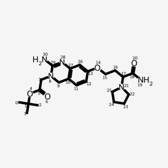 CC(C)(C)OC(=O)CN1Cc2ccc(OCCC(C(N)=O)N3CCCC3)cc2N=C1N